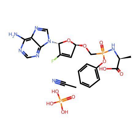 CC#N.C[C@H](NP(=O)(CO[C@H]1C=C(F)[C@H](n2cnc3c(N)ncnc32)O1)Oc1ccccc1)C(=O)O.O=P(O)(O)O